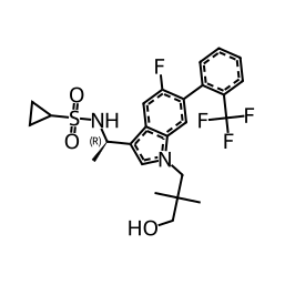 C[C@@H](NS(=O)(=O)C1CC1)c1cn(CC(C)(C)CO)c2cc(-c3ccccc3C(F)(F)F)c(F)cc12